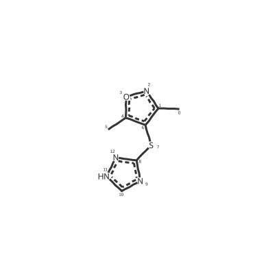 Cc1noc(C)c1Sc1nc[nH]n1